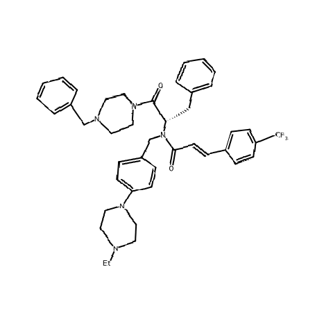 CCN1CCN(c2ccc(CN(C(=O)/C=C/c3ccc(C(F)(F)F)cc3)[C@@H](Cc3ccccc3)C(=O)N3CCN(Cc4ccccc4)CC3)cc2)CC1